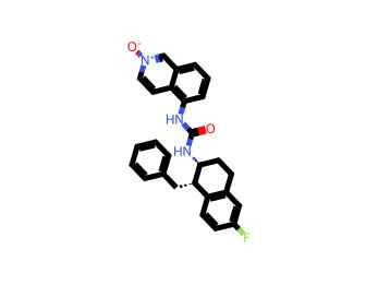 O=C(Nc1cccc2c[n+]([O-])ccc12)N[C@@H]1CCc2cc(F)ccc2[C@@H]1Cc1ccccc1